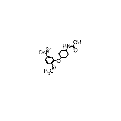 COc1ccc([N+](=O)[O-])cc1O[C@H]1CC[C@H](NC(=O)O)CC1